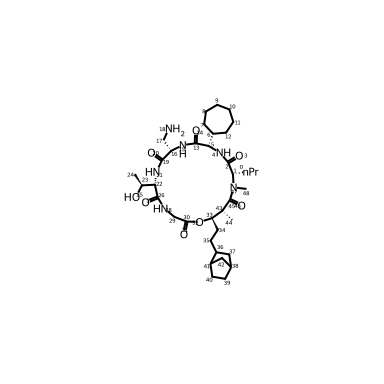 CCC[C@H]1C(=O)N[C@@H](C2CCCCCC2)C(=O)N[C@@H](CN)C(=O)N[C@@H]([C@H](C)O)C(=O)NCC(=O)O[C@H](CCC2CC3CCC2C3)[C@@H](C)C(=O)N1C